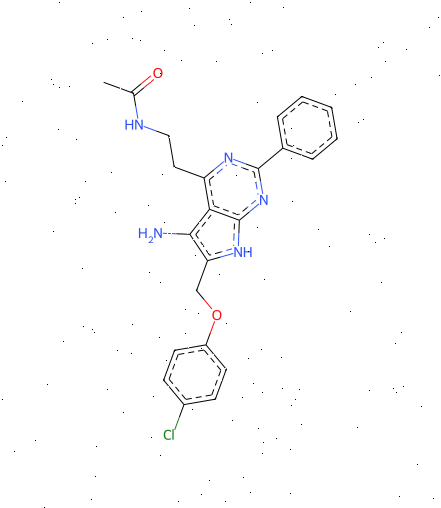 CC(=O)NCCc1nc(-c2ccccc2)nc2[nH]c(COc3ccc(Cl)cc3)c(N)c12